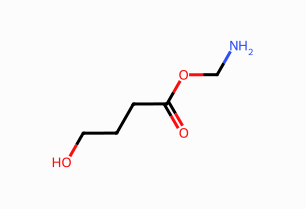 NCOC(=O)CCCO